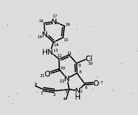 CC#CC1(C)NC(=O)c2c(Cl)cc(Nc3ccncn3)c(=O)n21